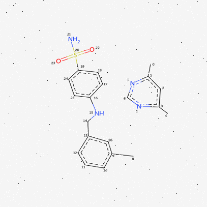 Cc1cc(C)ncn1.Cc1cccc(CNc2ccc(S(N)(=O)=O)cc2)c1